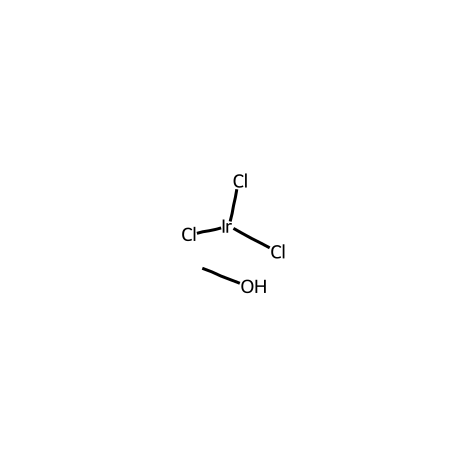 CO.[Cl][Ir]([Cl])[Cl]